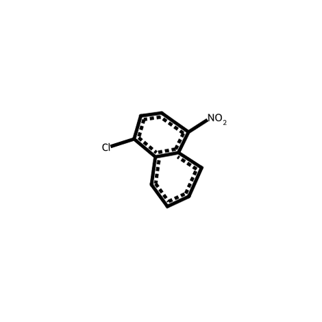 O=[N+]([O-])c1ccc(Cl)c2ccccc12